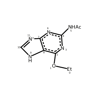 CCOc1nc(NC(C)=O)nc2c1NC=[N+]2